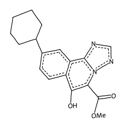 COC(=O)c1c(O)c2ccc(C3CCCCC3)cc2c2ncnn12